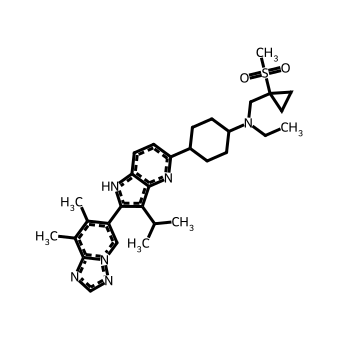 CCN(CC1(S(C)(=O)=O)CC1)C1CCC(c2ccc3[nH]c(-c4cn5ncnc5c(C)c4C)c(C(C)C)c3n2)CC1